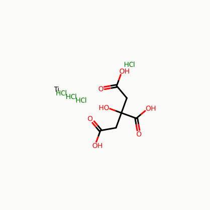 Cl.Cl.Cl.Cl.O=C(O)CC(O)(CC(=O)O)C(=O)O.[Ti]